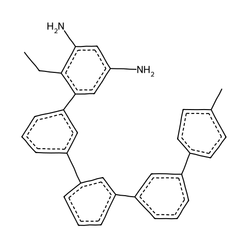 CCc1c(N)cc(N)cc1-c1cccc(-c2cccc(-c3cccc(-c4ccc(C)cc4)c3)c2)c1